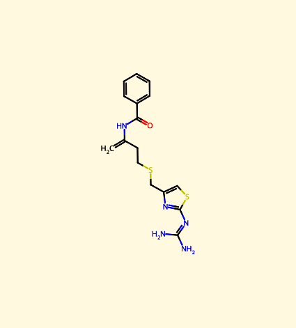 C=C(CCSCc1csc(N=C(N)N)n1)NC(=O)c1ccccc1